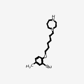 Cc1ccc(OCCCCCCN2CCCNCC2)c(C(C)(C)C)c1